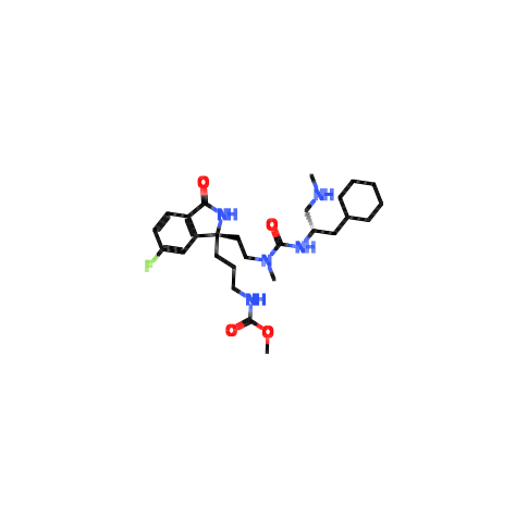 CNC[C@H](CC1CCCCC1)NC(=O)N(C)CC[C@]1(CCCNC(=O)OC)NC(=O)c2ccc(F)cc21